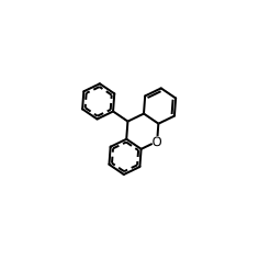 C1=CC2Oc3ccccc3C(c3ccccc3)C2C=C1